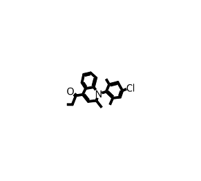 CCC(=O)C1=CC(C)N(c2c(C)cc(Cl)cc2C)c2ccccc21